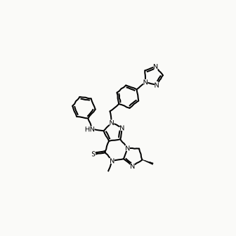 C[C@@H]1CN2C(=N1)N(C)C(=S)c1c2nn(Cc2ccc(-n3cncn3)cc2)c1Nc1ccccc1